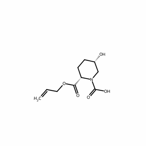 C=CCOC(=O)[C@@H]1CC[C@H](O)CN1C(=O)O